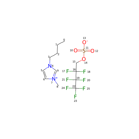 CCCCn1cc[n+](C)c1.O=S(=O)([O-])OCC(F)(F)C(F)(F)C(F)(F)F